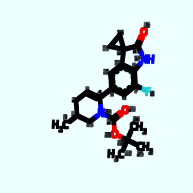 CC1CC=C(c2cc(F)c3c(c2)C2(CC2)C(=O)N3)N(C(=O)OC(C)(C)C)C1